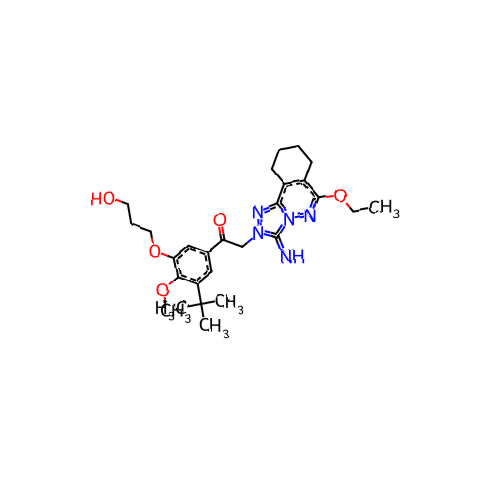 CCOc1nn2c(=N)n(CC(=O)c3cc(OCCCO)c(OC)c(C(C)(C)C)c3)nc2c2c1CCCC2